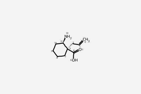 C=CC[C@]1(C(=O)O)CCCC[C@H]1N